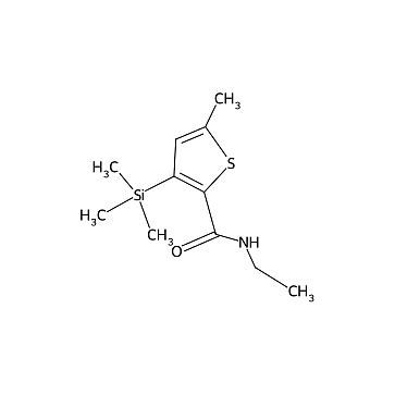 CCNC(=O)c1sc(C)cc1[Si](C)(C)C